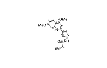 COc1ccc2c(OC)cc(-c3csc(NC(=O)CC(C)(C)C)n3)nc2c1